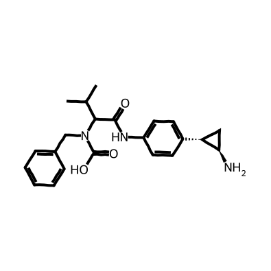 CC(C)C(C(=O)Nc1ccc([C@@H]2C[C@H]2N)cc1)N(Cc1ccccc1)C(=O)O